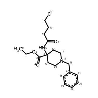 CCOC(=O)C1(NC(=O)CCCCl)CCN(Cc2ccccc2)CC1